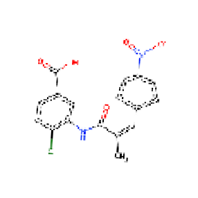 CC(=Cc1ccc([N+](=O)[O-])cc1)C(=O)Nc1cc(C(=O)O)ccc1Cl